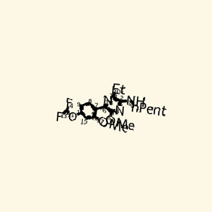 CCCCCNc1nc(OC)c(-c2ccc(OC(F)F)cc2OC)nc1CC